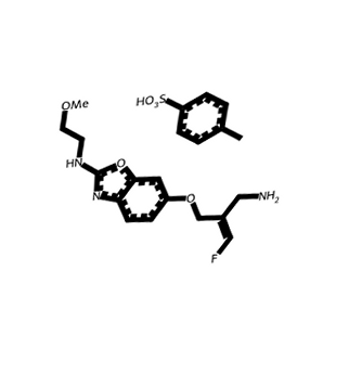 COCCNc1nc2ccc(OC/C(=C\F)CN)cc2o1.Cc1ccc(S(=O)(=O)O)cc1